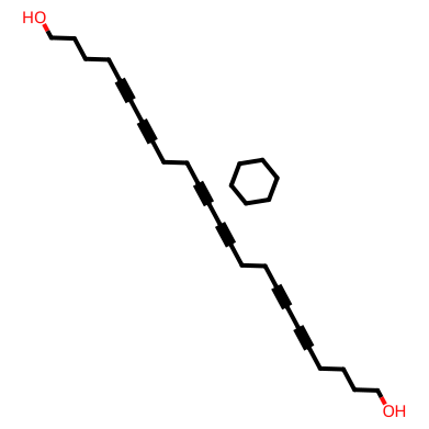 C1CCCCC1.OCCCCC#CC#CCCC#CC#CCCC#CC#CCCCCO